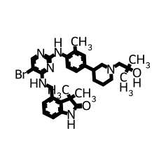 Cc1cc(C2CCCN(CC(C)(C)O)C2)ccc1Nc1ncc(Br)c(NCc2cccc3c2C(C)(C)C(=O)N3)n1